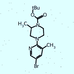 Cc1cc(Br)cnc1N1CCN(C(=O)OC(C)(C)C)C(C)C1